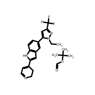 CC(C)(C)OC=O.CCn1nc(C(F)(F)F)cc1-c1ccc2[nH]c(C3=CC=NCC3)cc2c1